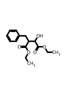 CCOC(=O)C(O)C(Cc1ccccc1)C(=O)OCC